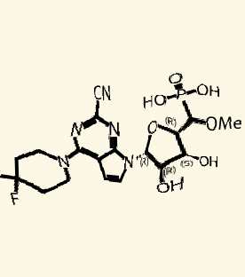 COC([C@@H]1O[C@@H](n2ccc3c(N4CCC(F)(F)CC4)nc(C#N)nc32)[C@H](O)[C@@H]1O)P(=O)(O)O